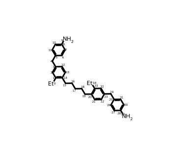 CCc1cc(Cc2ccc(N)cc2)ccc1CCCCCc1ccc(Cc2ccc(N)cc2)cc1CC